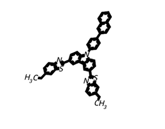 CCc1ccc2nc(-c3ccc4c(c3)c3cc(-c5nc6ccc(CC)cc6s5)ccc3n4-c3ccc(-c4ccc5ccccc5c4)cc3)sc2c1